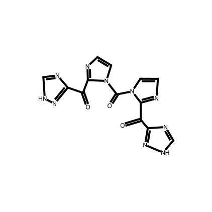 O=C(c1nc[nH]n1)c1nccn1C(=O)n1ccnc1C(=O)c1nc[nH]n1